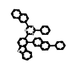 c1ccc(-c2ccc3cc(-c4c(-c5nc(-c6ccccc6)nc(-c6ccc7ccccc7c6)n5)ccc5oc6ccccc6c45)ccc3c2)cc1